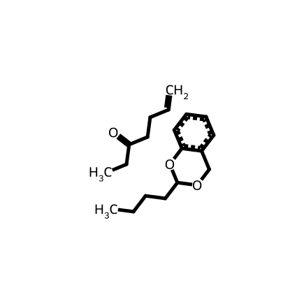 C=CCCC(=O)CC.CCCCC1OCc2ccccc2O1